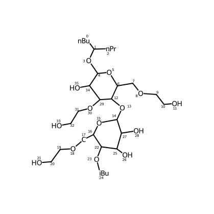 CCCCC(CCC)OC1OC(COCCO)C(OC2OC(COCCO)C(OC(C)CC)C(O)C2O)C(OCCO)C1O